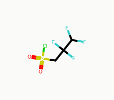 O=S(=O)(Cl)CC(F)(F)C(F)F